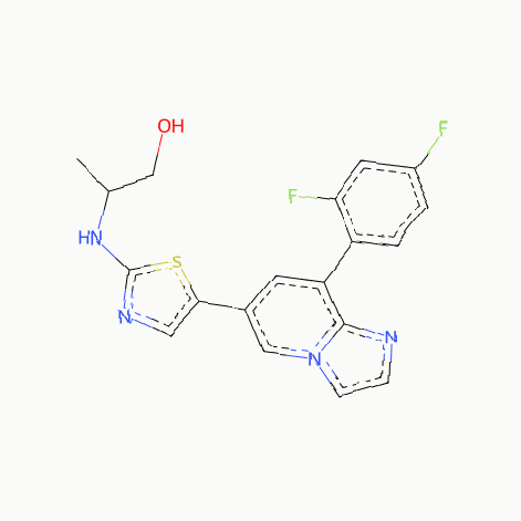 CC(CO)Nc1ncc(-c2cc(-c3ccc(F)cc3F)c3nccn3c2)s1